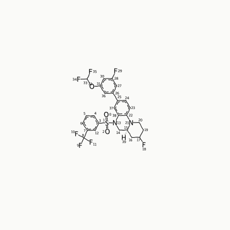 O=S(=O)(c1cccc(C(F)(F)F)c1)N1C[C@@H]2CC(F)CCN2c2ccc(-c3cc(F)cc(OC(F)F)c3)cc21